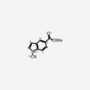 COC(=O)c1ccc2c(ccn2C#N)c1